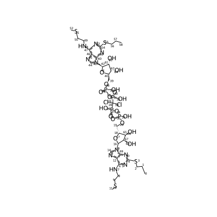 CCCSc1nc(NCCSC)c2ncn(C3O[C@H](COP(=O)(O)OP(=O)(O)C(Cl)(Cl)P(=O)(O)OP(=O)(O)OC[C@H]4O[C@@H](n5cnc6c(NCCSC)nc(SCCC)nc65)[C@H](O)[C@@H]4O)[C@@H](O)[C@H]3O)c2n1